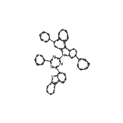 c1ccc(-c2ccc3c4c5ccccc5c(-c5ccccc5)cc4n(-c4nc(-c5ccccc5)nc(-c5cccc6c5sc5ccccc56)n4)c3c2)cc1